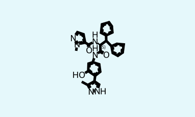 Cc1n[nH]cc1-c1ccc(NC(=O)[C@@H](NC(=O)c2ccnn2C)C(c2ccccc2)c2ccccc2)cc1O